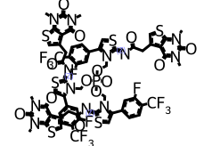 Cn1c(=O)c2c(CC(=O)/N=c3\scc(-c4ccc(C(F)(F)F)c(F)c4)n3COP(=O)(OCn3c(-c4ccc(C(F)(F)F)c(F)c4)cs/c3=N\C(=O)Cc3csc4c3c(=O)n(C)c(=O)n4C)OCn3c(-c4ccc(C(F)(F)F)c(F)c4)cs/c3=N\C(=O)Cc3csc4c3c(=O)n(C)c(=O)n4C)csc2n(C)c1=O